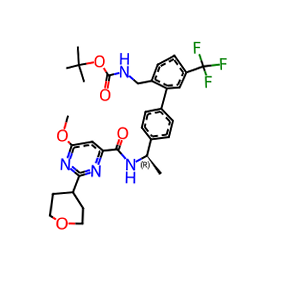 COc1cc(C(=O)N[C@H](C)c2ccc(-c3cc(C(F)(F)F)ccc3CNC(=O)OC(C)(C)C)cc2)nc(C2CCOCC2)n1